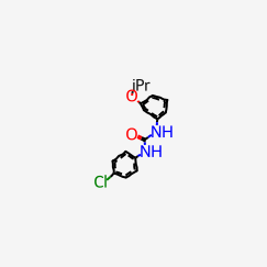 CC(C)Oc1cccc(NC(=O)Nc2ccc(Cl)cc2)c1